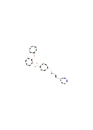 O=C(C=Cc1cccnc1)Nc1ccc(S(=O)(=O)c2cccc3c2Oc2ccccc2S3)cc1